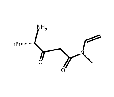 C=CN(C)C(=O)CC(=O)[C@@H](N)CCC